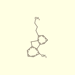 CCCCc1cccc2c1[CH]c1cccc(C)c1-2